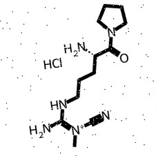 C[N+](C#N)=C(N)NCCC[C@H](N)C(=O)N1CCCC1.Cl